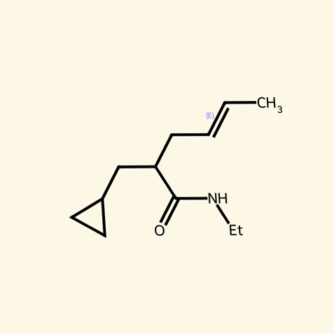 C/C=C/CC(CC1CC1)C(=O)NCC